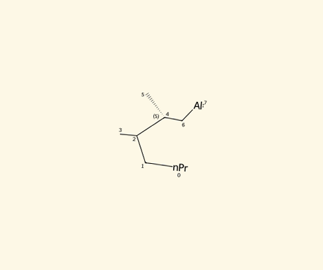 CCCCC(C)[C@H](C)[CH2][Al]